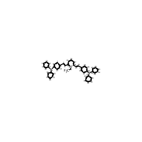 FC(F)(F)C[n+]1c(/C=C/c2ccc(N(c3ccccc3)c3ccccc3)cc2)cccc1/C=C/c1ccc(N(c2ccccc2)c2ccccc2)cc1